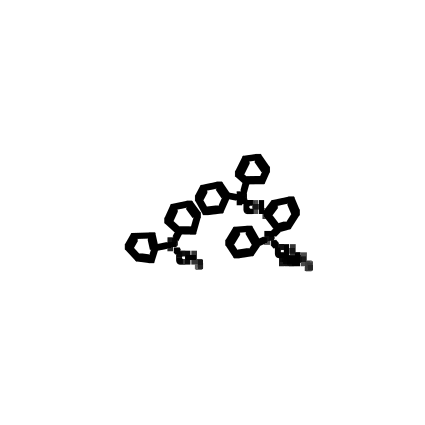 CP(c1ccccc1)c1ccccc1.CP(c1ccccc1)c1ccccc1.CP(c1ccccc1)c1ccccc1.[RuH3]